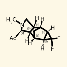 CC(=O)[C@@H]1[C@@H]2[C@H](CN1C)[C@H]1C[C@@H]2[C@H]2[C@@H]1C2(F)F